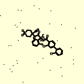 C[C@@](NC(=O)c1ccc(-c2ccccc2Cl)cc1Cl)(C(=O)NC1(C#N)CCS(=O)(=O)CC1)c1c(F)cccc1F